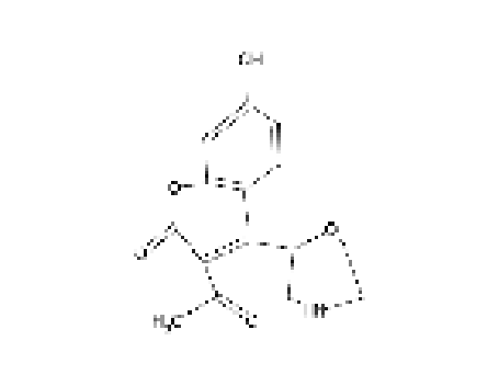 CC(=O)c1c(C2CNCCO2)c2ccc(O)cc2oc1=O